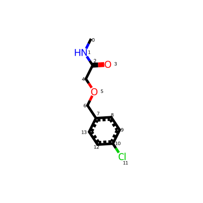 CNC(=O)COCc1ccc(Cl)cc1